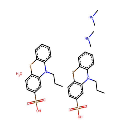 CCCN1c2ccccc2Sc2ccc(S(=O)(=O)O)cc21.CCCN1c2ccccc2Sc2ccc(S(=O)(=O)O)cc21.CNC.CNC.O